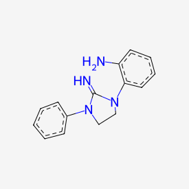 N=C1N(c2ccccc2)CCN1c1ccccc1N